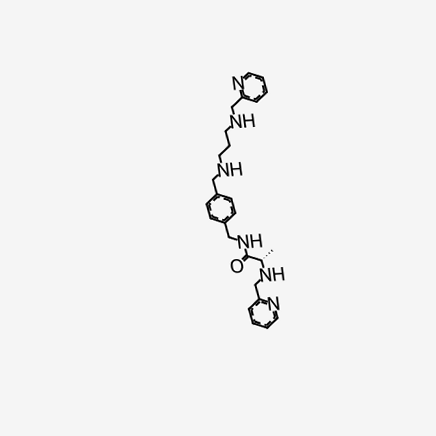 C[C@H](NCc1ccccn1)C(=O)NCc1ccc(CNCCCNCc2ccccn2)cc1